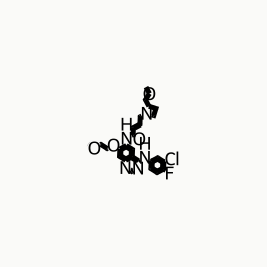 COCCOc1cc2ncnc(Nc3ccc(F)c(Cl)c3)c2cc1NC(=O)C=CCN1CCC1COC